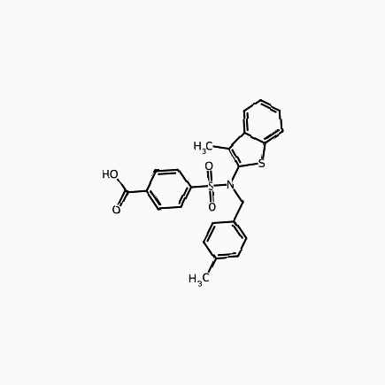 Cc1ccc(CN(c2sc3ccccc3c2C)S(=O)(=O)c2ccc(C(=O)O)cc2)cc1